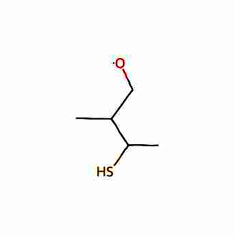 CC(S)C(C)C[O]